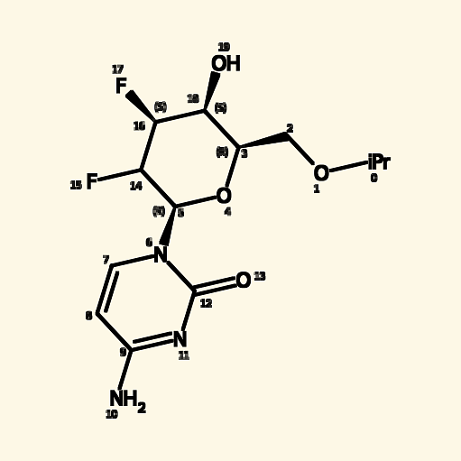 CC(C)OC[C@H]1O[C@@H](n2ccc(N)nc2=O)C(F)[C@@H](F)[C@H]1O